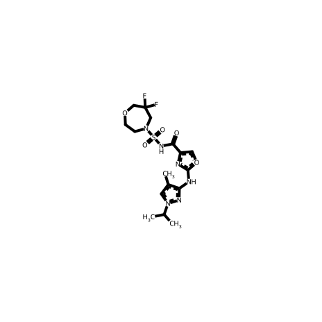 Cc1cn(C(C)C)nc1Nc1nc(C(=O)NS(=O)(=O)N2CCOCC(F)(F)C2)co1